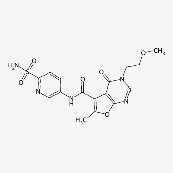 COCCn1cnc2oc(C)c(C(=O)Nc3ccc(S(N)(=O)=O)nc3)c2c1=O